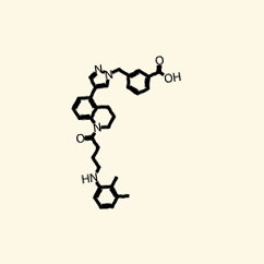 Cc1cccc(NCCCC(=O)N2CCCc3c(-c4cnn(Cc5cccc(C(=O)O)c5)c4)cccc32)c1C